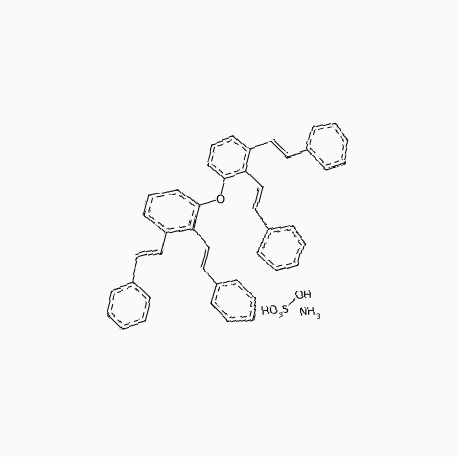 C(=Cc1cccc(Oc2cccc(C=Cc3ccccc3)c2C=Cc2ccccc2)c1C=Cc1ccccc1)c1ccccc1.N.O=S(=O)(O)O